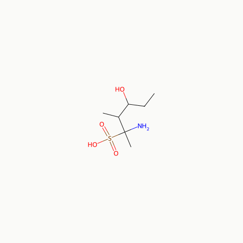 CCC(O)C(C)C(C)(N)S(=O)(=O)O